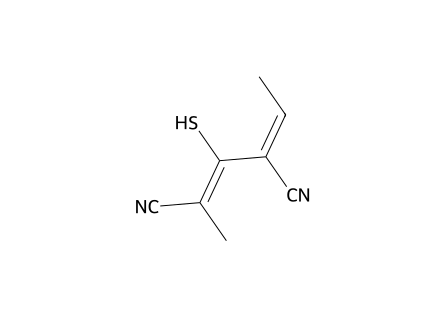 C/C=C(C#N)\C(S)=C(/C)C#N